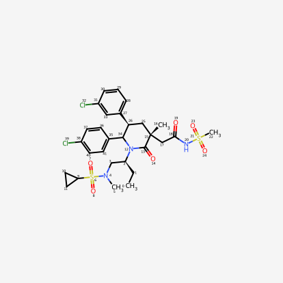 CC[C@@H](CN(C)S(=O)(=O)C1CC1)N1C(=O)[C@@](C)(CC(=O)NS(C)(=O)=O)C[C@H](c2cccc(Cl)c2)C1c1ccc(Cl)cc1